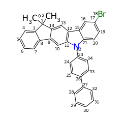 CC1(C)c2ccccc2-c2cc3c(cc21)c1cc(Br)ccc1n3-c1ccc(-c2ccccc2)cc1